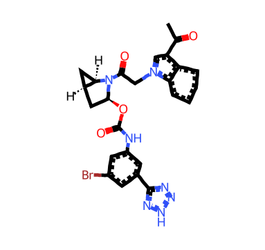 CC(=O)c1cn(CC(=O)N2[C@@H](OC(=O)Nc3cc(Br)cc(-c4nn[nH]n4)c3)C[C@H]3C[C@H]32)c2ccccc12